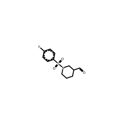 O=CC1CCCN(S(=O)(=O)c2ccc(F)cc2)C1